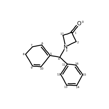 O=C1CN(C(C2=CCCC=C2)c2ccccc2)C1